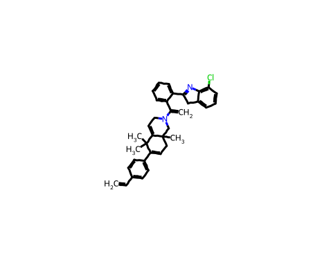 C=Cc1ccc(C2=CCC3(C)CN(C(=C)c4ccccc4C4=Nc5c(Cl)cccc5C4)CC=C3C2(C)C)cc1